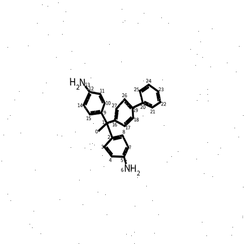 CC(c1ccc(N)cc1)(c1ccc(N)cc1)c1ccc(-c2ccccc2)cc1